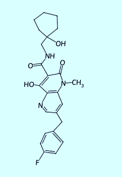 Cn1c(=O)c(C(=O)NCC2(O)CCCCC2)c(O)c2ncc(Cc3ccc(F)cc3)cc21